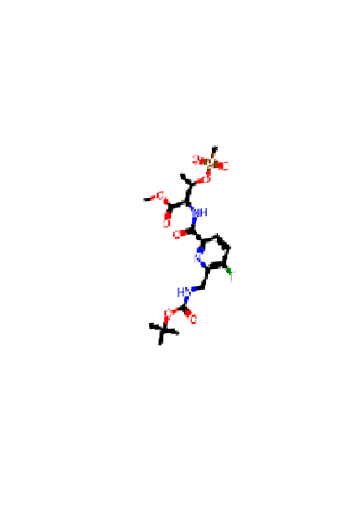 COC(=O)C(NC(=O)c1ccc(F)c(CNC(=O)OC(C)(C)C)n1)C(C)OS(C)(=O)=O